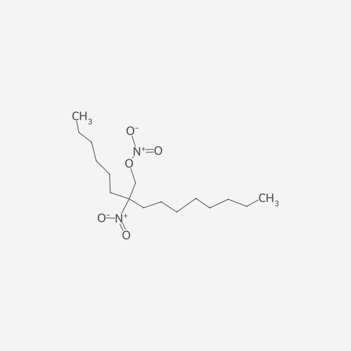 CCCCCCCCC(CCCCCC)(CO[N+](=O)[O-])[N+](=O)[O-]